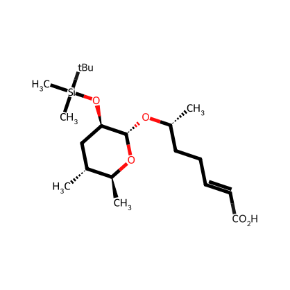 C[C@H](CC/C=C/C(=O)O)O[C@@H]1O[C@@H](C)[C@H](C)C[C@H]1O[Si](C)(C)C(C)(C)C